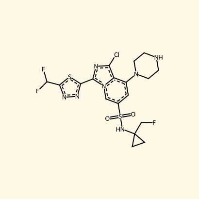 O=S(=O)(NC1(CF)CC1)c1cc(N2CCNCC2)c2c(Cl)nc(-c3nnc(C(F)F)s3)n2c1